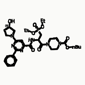 CCCCOC(=O)N1CCN(C(=O)C(CP(=O)(OCC)OCC)NC(=O)c2cc(N3CC[C@@H](O)C3)nc(-c3ccccc3)n2)CC1